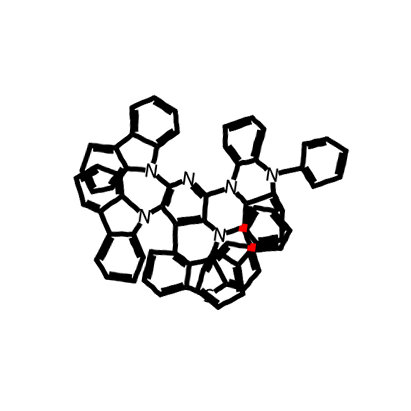 c1ccc(N2c3ccccc3N(c3nc(-n4c5ccccc5c5ccccc54)c(-n4c5ccccc5c5ccccc54)c(-c4cccc5sc6ccccc6c45)c3-n3c4ccccc4c4ccccc43)c3ccccc32)cc1